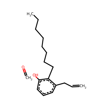 C=CCc1cccc(O)c1CCCCCCCC.C=O